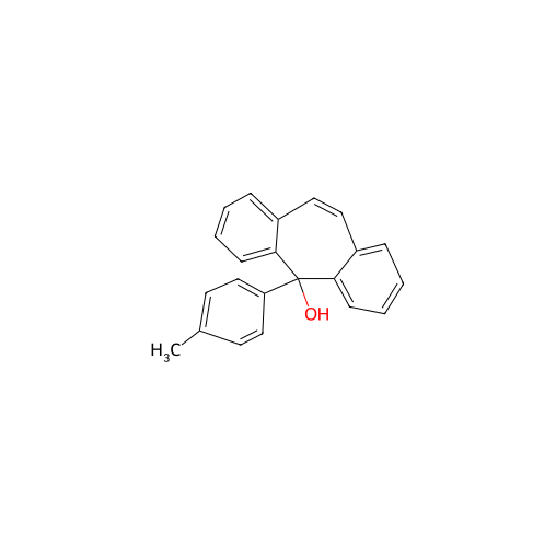 Cc1ccc(C2(O)c3ccccc3C=Cc3ccccc32)cc1